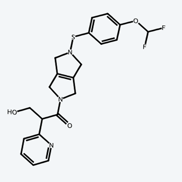 O=C(C(CO)c1ccccn1)N1CC2=C(CN(Sc3ccc(OC(F)F)cc3)C2)C1